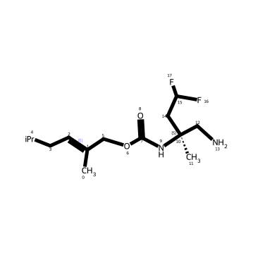 C/C(=C\CC(C)C)COC(=O)N[C@](C)(CN)CC(F)F